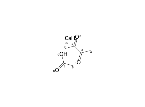 CC(=O)C(C)=O.CC(=O)O.[CaH2]